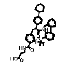 O=C(O)CCNC(=O)c1ccc(CC(C(=O)NCc2ccccc2-c2cccc(OC(F)(F)F)c2)c2ccc(C3CCCCC3)cc2)cc1